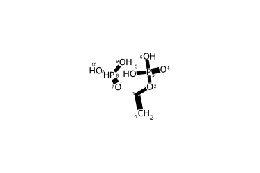 C=COP(=O)(O)O.O=[PH](O)O